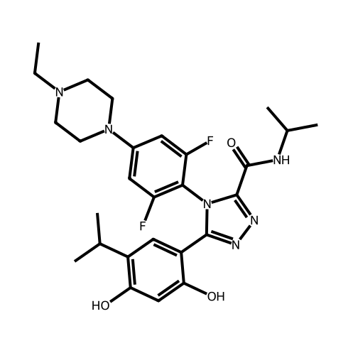 CCN1CCN(c2cc(F)c(-n3c(C(=O)NC(C)C)nnc3-c3cc(C(C)C)c(O)cc3O)c(F)c2)CC1